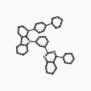 c1ccc(-c2ccc(-c3cccc4c5ccccc5n(-c5cccc(-c6nc(-c7ccccc7)c7ccccc7n6)c5)c34)cc2)cc1